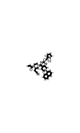 C=CC(=O)N1CCN(c2nc(OC[C@@]3(C)CCCN3)nc3c2CCN(c2cccc4ccccc24)C3)CC1CC#N